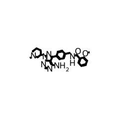 COc1ccccc1C(=O)NCc1ccc(-c2nn(C3CCCN(C)C3)c3ncnc(N)c23)cc1